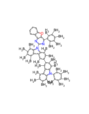 Bc1c(B)c(B)c(-c2nc(-n3c4c(B)c(B)c(B)c(B)c4c4c(B)c(-c5c(B)c(B)c6c(c5B)c5c(B)c(B)c(B)c(B)c5n6-c5c(B)c(B)c(B)c(B)c5B)c(B)c(B)c43)nc3c2oc2ccccc23)c(B)c1B